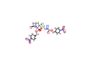 O=C(NCC[S+]([O-])C1(Cl)CC2CC(=O)N2C1C(=O)OCc1ccc([N+](=O)[O-])cc1)OCc1ccc([N+](=O)[O-])cc1